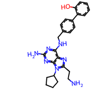 NCCc1nc2c(NCc3ccc(-c4ccccc4O)cc3)nc(N)nc2n1C1CCCC1